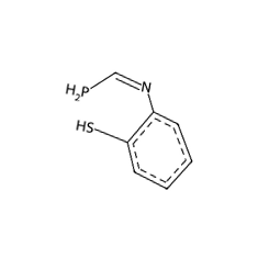 P/C=N\c1ccccc1S